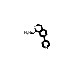 NC[C@H]1OCCc2ccc(-c3ccncc3)cc21